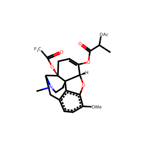 COc1ccc2c3c1O[C@H]1C(OC(=O)C(C)OC(C)=O)=CC[C@@]4(OC(=O)C(F)(F)F)C(C2)N(C)CC[C@]314